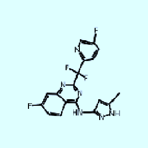 Cc1cc(Nc2nc(C(F)(F)c3ccc(F)cn3)nc3cc(F)ccc23)n[nH]1